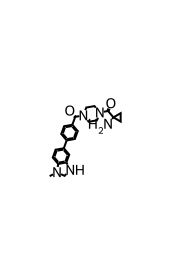 CN1CNc2cc(-c3ccc(C(=O)N4CCN(C(=O)C5(N)CC5)CC4)cc3)ccc21